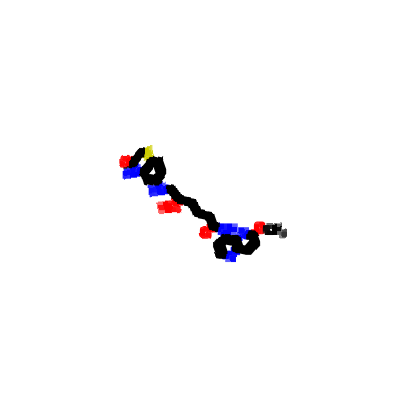 COc1ccc2nccc(NC(=O)CCCC(O)CNc3ccc4c(c3)NC(=O)CS4)c2n1